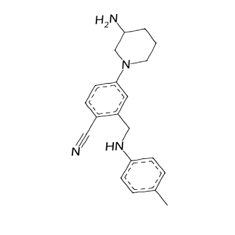 Cc1ccc(NCc2cc(N3CCCC(N)C3)ccc2C#N)cc1